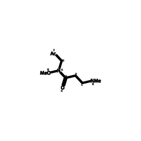 CNCCC(=O)N(CC(C)=O)OC